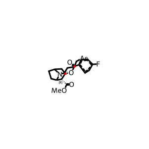 COC(=O)[C@@H]1C2CCC(C[C@@H]1OC(=O)c1ccc(F)cc1)N2CCCCC(C)=O